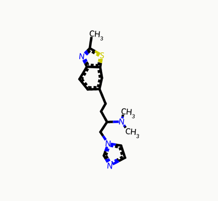 Cc1nc2ccc(CCC(Cn3ccnc3)N(C)C)cc2s1